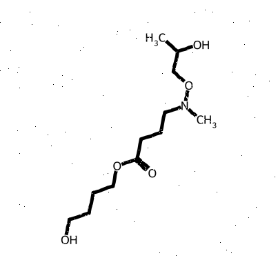 CC(O)CON(C)CCCC(=O)OCCCCO